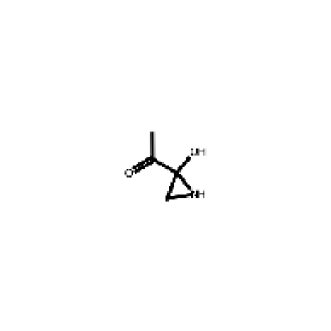 CC(=O)C1(O)CN1